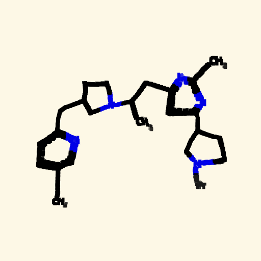 Cc1ccc(CC2CCN(C(C)Cc3cc(C4CCN(C(C)C)C4)nc(C)n3)C2)nc1